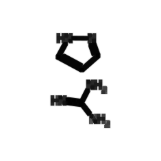 N=C(N)N.c1cn[nH]c1